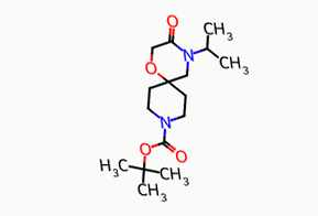 CC(C)N1CC2(CCN(C(=O)OC(C)(C)C)CC2)OCC1=O